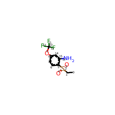 CCS(=O)(=O)c1ccc(OC(F)(F)F)cc1N